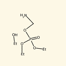 CCO.CCOP(=O)(OCC)OCN